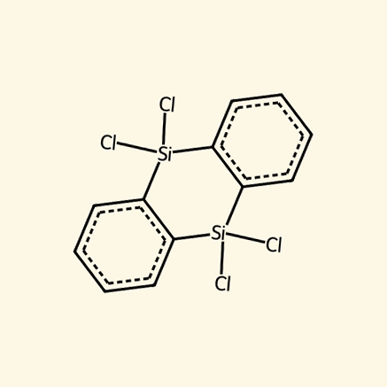 Cl[Si]1(Cl)c2ccccc2[Si](Cl)(Cl)c2ccccc21